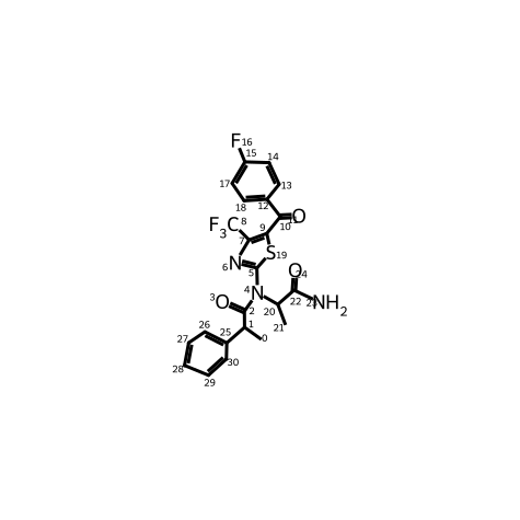 CC(C(=O)N(c1nc(C(F)(F)F)c(C(=O)c2ccc(F)cc2)s1)C(C)C(N)=O)c1ccccc1